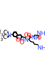 CCN(CC)c1ccc2cc(C(=O)NC(CCCCN)C(=O)NCC(N)=O)c(=O)oc2c1